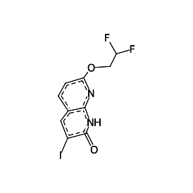 O=c1[nH]c2nc(OCC(F)F)ccc2cc1I